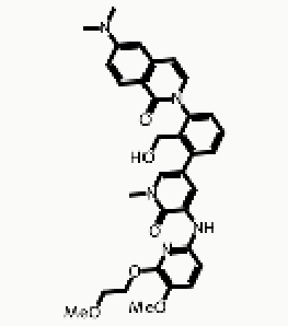 COCCOc1nc(Nc2cc(-c3cccc(-n4ccc5cc(N(C)C)ccc5c4=O)c3CO)cn(C)c2=O)ccc1OC